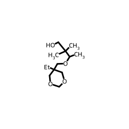 CCC1(COC(C)C(C)(C)CO)COCOC1